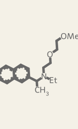 CCN(CCOCCOC)C(C)c1ccc2ccccc2c1